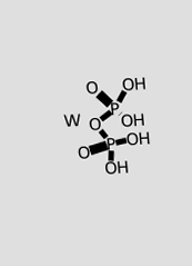 O=P(O)(O)OP(=O)(O)O.[W]